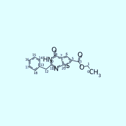 CCOC(=O)c1cc2c(=O)[nH]c(Cc3ccccc3)nc2s1